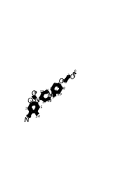 COCCOC1CCC(C)(N2CCC(n3c(=O)oc4cc(C#N)c(C)cc43)CC2)CC1